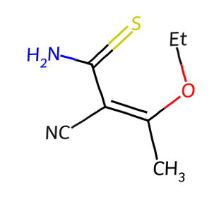 CCOC(C)=C(C#N)C(N)=S